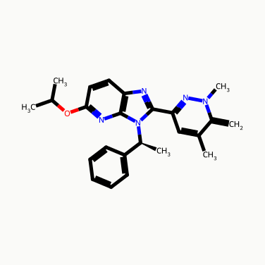 C=C1C(C)=CC(c2nc3ccc(OC(C)C)nc3n2[C@@H](C)c2ccccc2)=NN1C